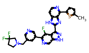 Cc1ccc(-c2nccc3[nH]c(-c4n[nH]c5cnc(-c6cncc(CN7CCC(F)(F)C7)c6)c(F)c45)nc23)s1